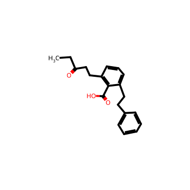 CCC(=O)CCc1cccc(CCc2ccccc2)c1C(=O)O